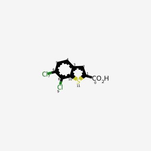 O=C(O)c1cc2ccc(Cl)c(Cl)c2s1